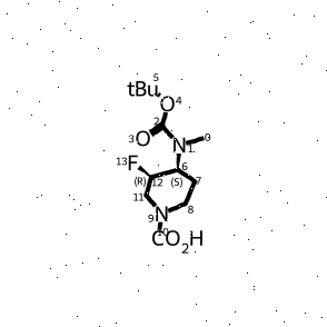 CN(C(=O)OC(C)(C)C)[C@H]1CCN(C(=O)O)C[C@H]1F